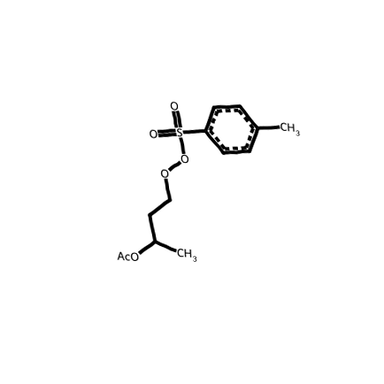 CC(=O)OC(C)CCOOS(=O)(=O)c1ccc(C)cc1